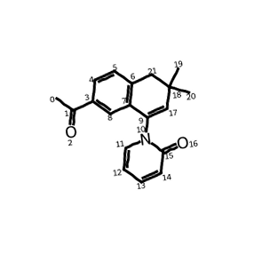 CC(=O)c1ccc2c(c1)C(n1ccccc1=O)=CC(C)(C)C2